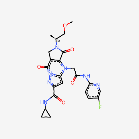 COC[C@H](C)N1Cc2c(n(CC(=O)Nc3ccc(F)cn3)c3cc(C(=O)NC4CC4)nn3c2=O)C1=O